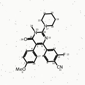 COc1ccc(-c2c(-c3ccc(C#N)c(F)c3)nc(N3CCCCC3)n(C)c2=O)cc1